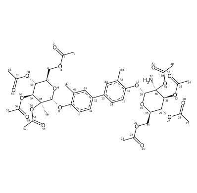 CC(=O)OC[C@H]1O[C@H](Oc2ccc(-c3ccc(O[C@H]4O[C@H](COC(C)=O)[C@@H](OC(C)=O)[C@H](OC(C)=O)[C@]4(N)OC(C)=O)c(C)c3)cc2C)[C@@](C)(OC(C)=O)[C@@H](OC(C)=O)[C@@H]1OC(C)=O